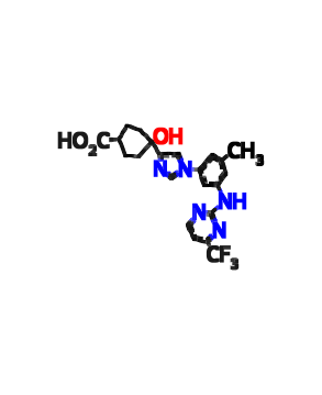 Cc1cc(Nc2nccc(C(F)(F)F)n2)cc(-n2cnc([C@]3(O)CC[C@@H](C(=O)O)CC3)c2)c1